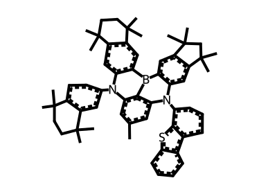 Cc1cc2c3c(c1)N(c1cccc4c1sc1ccccc14)c1cc4c(cc1B3c1cc3c(cc1N2c1ccc2c(c1)C(C)(C)CCC2(C)C)C(C)(C)CCC3(C)C)C(C)(C)CC4(C)C